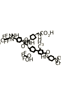 Cc1cc(C(=O)NC2CCC(N(C)C)CC2)ccc1-c1ccc(C[C@H](NC(=O)[C@H]2CC[C@H](CNC(=O)O)CC2)C(=O)Nc2ccc(-c3nc(C(F)(F)C(F)(F)C(F)(F)F)n[nH]3)cc2)cc1.O=C(O)C(F)(F)F